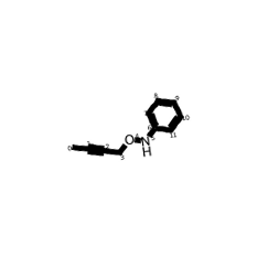 CC#CCONc1ccccc1